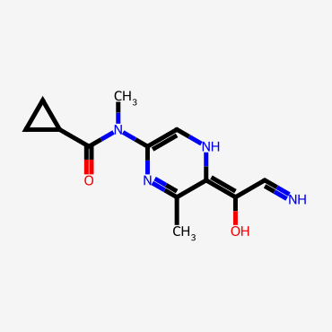 CC1=NC(N(C)C(=O)C2CC2)=CN/C1=C(/O)C=N